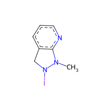 CN1c2ncccc2CN1I